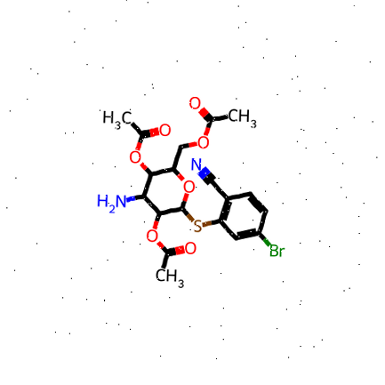 CC(=O)OCC1OC(Sc2cc(Br)ccc2C#N)C(OC(C)=O)C(N)C1OC(C)=O